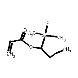 C=CC(=O)OC(CC)[Si](C)(C)F